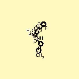 CN1CCN(c2cccc(C(=O)Nc3n[nH]c4c3CN(C(=O)Cc3c(F)cccc3F)C4(C)C)c2)CC1